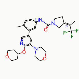 C/C(=C1\CCN(C(=O)Nc2ccc(C)c(-c3cnc(OC4CCOCC4)c(N4CCOCC4)c3)c2)C1)C(F)(F)F